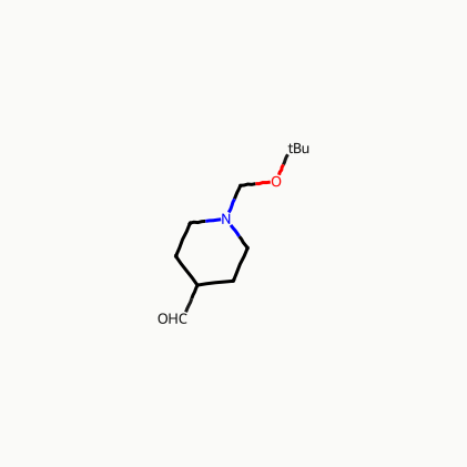 CC(C)(C)OCN1CCC(C=O)CC1